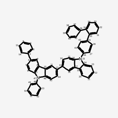 c1ccc(-c2ccc3c(c2)c2cc(-c4ccc5c(c4)c4ccccc4n5-c4ccc(-c5ccccc5-c5ccccc5)cc4)ccc2n3-c2ccccc2)cc1